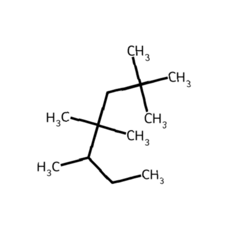 CCC(C)C(C)(C)CC(C)(C)C